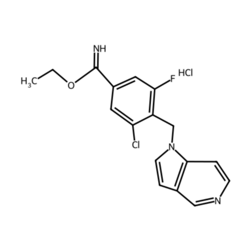 CCOC(=N)c1cc(F)c(Cn2ccc3cnccc32)c(Cl)c1.Cl